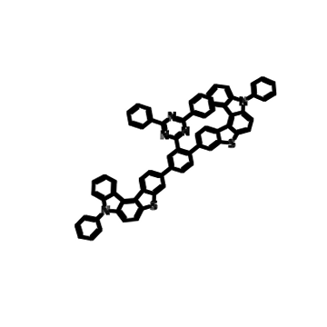 c1ccc(-c2nc(-c3ccccc3)nc(-c3cc(-c4ccc5c(c4)sc4ccc6c(c7ccccc7n6-c6ccccc6)c45)ccc3-c3ccc4c(c3)sc3ccc5c(c6ccccc6n5-c5ccccc5)c34)n2)cc1